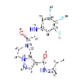 CC[C@@H](C)NC(=O)c1cnn2c1CN(C(=O)CNc1cc(F)c(F)c(F)c1)CC2